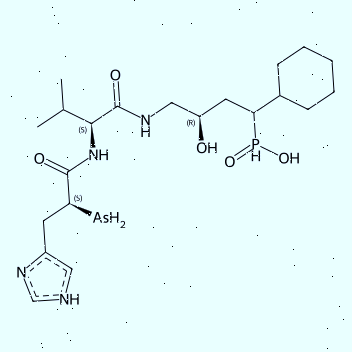 CC(C)[C@H](NC(=O)[C@@H]([AsH2])Cc1c[nH]cn1)C(=O)NC[C@H](O)CC(C1CCCCC1)[PH](=O)O